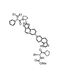 CCN(CC)[C@@H](C(=O)N1CCC[C@H]1c1nc2c(ccc3cc(-c4ccc5c(ccc6nc([C@@H]7CCCN7C(=O)[C@@H](NC(=O)OC)C(C)C)[nH]c65)c4)ccc32)[nH]1)c1ccccc1